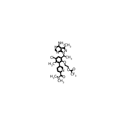 Cc1c(Cl)cc(C(C)n2nc(C)c3c(N)ncnc32)c(OCCOC(=O)C(F)(F)F)c1-c1ccc(C(=O)N(C)C)nc1